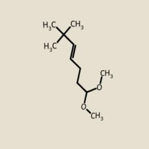 COC(CCC=CC(C)(C)C)OC